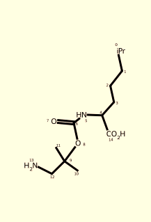 CC(C)CCCC(NC(=O)OC(C)(C)CN)C(=O)O